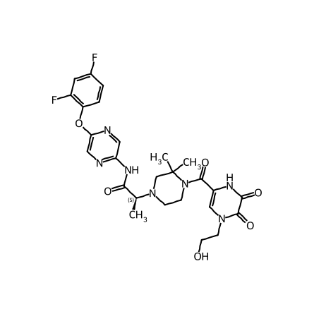 C[C@@H](C(=O)Nc1cnc(Oc2ccc(F)cc2F)cn1)N1CCN(C(=O)c2cn(CCO)c(=O)c(=O)[nH]2)C(C)(C)C1